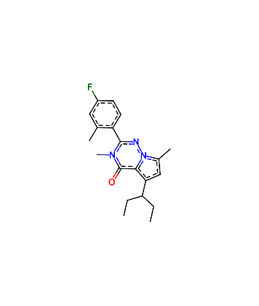 CCC(CC)c1cc(C)n2nc(-c3ccc(F)cc3C)n(C)c(=O)c12